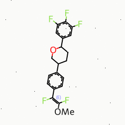 CO/C(F)=C(\F)c1ccc(C2CCC(c3cc(F)c(F)c(F)c3)OC2)cc1